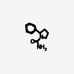 NC(=O)N1CCCC1c1ccccc1